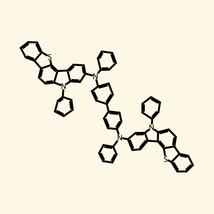 c1ccc(N(c2ccc(-c3ccc(N(c4ccccc4)c4ccc5c6c7sc8ccccc8c7ccc6n(-c6ccccc6)c5c4)cc3)cc2)c2ccc3c4c5sc6ccccc6c5ccc4n(-c4ccccc4)c3c2)cc1